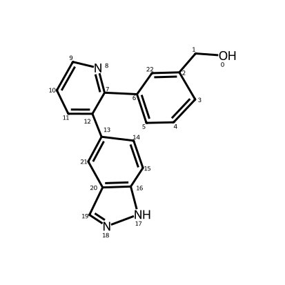 OCc1cccc(-c2ncccc2-c2ccc3[nH]ncc3c2)c1